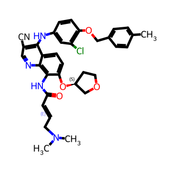 Cc1ccc(COc2ccc(Nc3c(C#N)cnc4c(NC(=O)/C=C/CN(C)C)c(O[C@H]5CCOC5)ccc34)cc2Cl)cc1